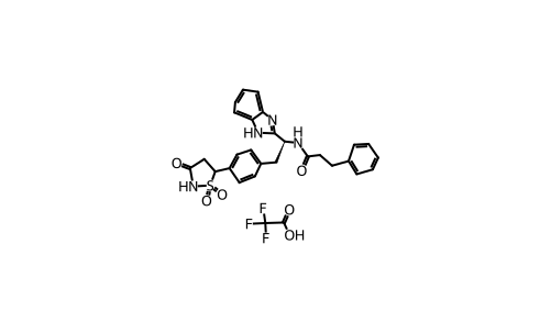 O=C(CCc1ccccc1)N[C@@H](Cc1ccc(C2CC(=O)NS2(=O)=O)cc1)c1nc2ccccc2[nH]1.O=C(O)C(F)(F)F